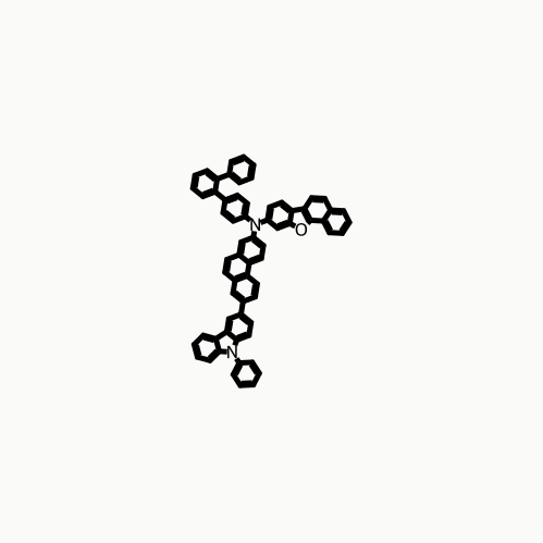 c1ccc(-c2ccccc2-c2ccc(N(c3ccc4c(ccc5cc(-c6ccc7c(c6)c6ccccc6n7-c6ccccc6)ccc54)c3)c3ccc4c(c3)oc3c5ccccc5ccc43)cc2)cc1